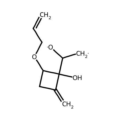 [CH2]C([O])C1(O)C(=C)CC1OCC=C